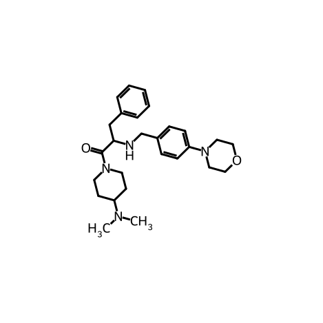 CN(C)C1CCN(C(=O)C(Cc2ccccc2)NCc2ccc(N3CCOCC3)cc2)CC1